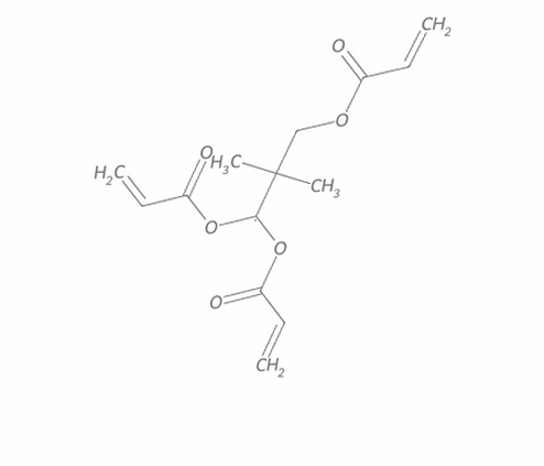 C=CC(=O)OCC(C)(C)[C](OC(=O)C=C)OC(=O)C=C